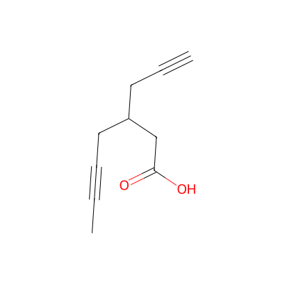 C#CCC(CC#CC)CC(=O)O